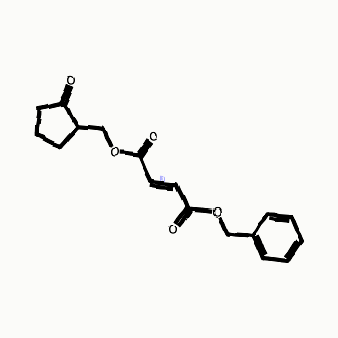 O=C(/C=C/C(=O)OCC1CCCC1=O)OCc1ccccc1